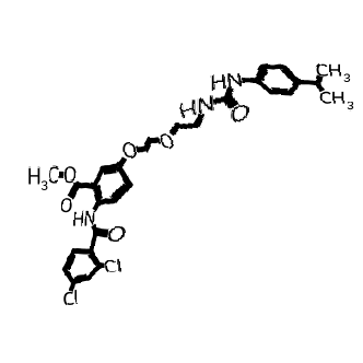 COC(=O)c1cc(OCCOCCNC(=O)Nc2ccc(C(C)C)cc2)ccc1NC(=O)c1ccc(Cl)cc1Cl